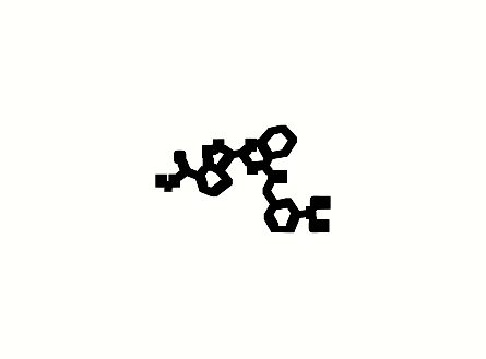 NC(=O)c1cccc2c(-c3nc4c(c(NCc5cccc(B(O)O)c5)n3)CCCC4)nnn12